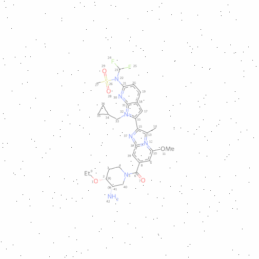 CCO[C@@H]1CCN(C(=O)c2cc(OC)n3c(C)c(-c4cc5ccc(N(C(F)F)S(C)(=O)=O)nc5n4CC4CC4)nc3c2)C[C@@H]1N